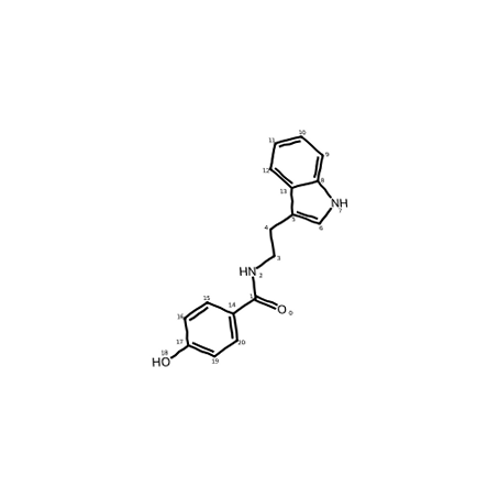 O=C(NCCc1c[nH]c2ccccc12)c1ccc(O)cc1